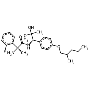 CCCC(C)COc1ccc([C@@H](NC(=O)[C@](C)(N)c2ccccc2F)C(C)(C)O)cc1